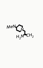 C=C(N)CN1CCC(NC)CC1